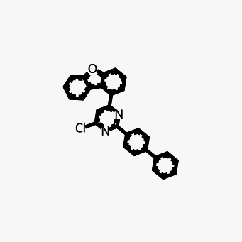 Clc1cc(-c2cccc3oc4ccccc4c23)nc(-c2ccc(-c3ccccc3)cc2)n1